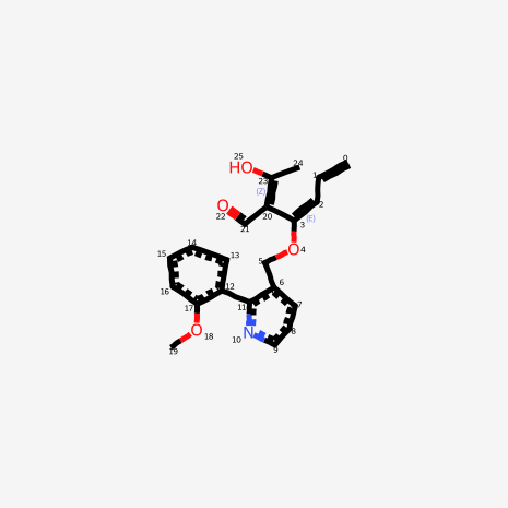 C=C/C=C(OCc1cccnc1-c1ccccc1OC)\C(C=O)=C(/C)O